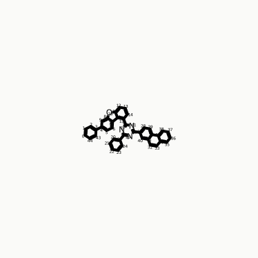 c1ccc(-c2ccc3c(c2)oc2cccc(-c4nc(-c5ccccc5)nc(-c5ccc6c(ccc7ccccc76)c5)n4)c23)cc1